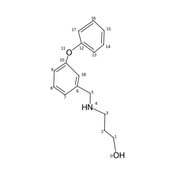 OCCCNCc1cccc(Oc2ccccc2)c1